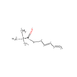 C=CC=CCCC(=O)C(C)(C)C